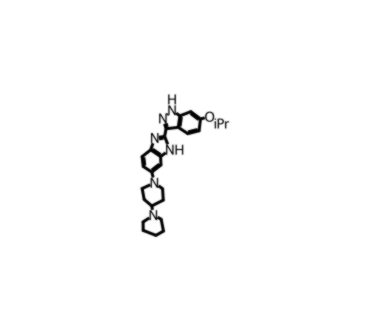 CC(C)Oc1ccc2c(-c3nc4ccc(N5CCC(N6CCCCC6)CC5)cc4[nH]3)n[nH]c2c1